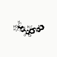 CC(C)(O)c1cnc(N2C[C@@]3(CCC[C@](C)(Cn4ncc5cccnc54)C3)C(=O)C2=O)cn1